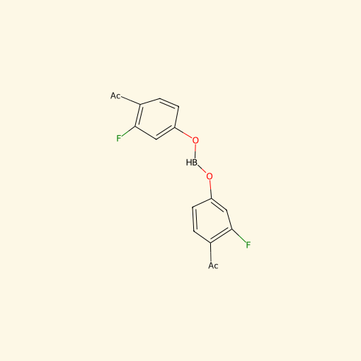 CC(=O)c1ccc(OBOc2ccc(C(C)=O)c(F)c2)cc1F